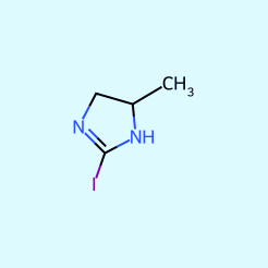 CC1CN=C(I)N1